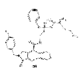 C=C(OCC)[C@H](C)OP(=O)(CCNC(=O)c1c2c(c(O)c3ncccc13)C(=O)N(Cc1ccc(F)cc1)C2)Oc1ccccc1